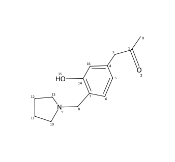 CC(=O)Cc1ccc(CN2CCCC2)c(O)c1